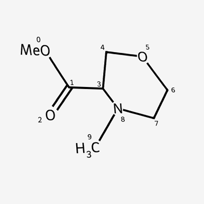 COC(=O)C1COCCN1C